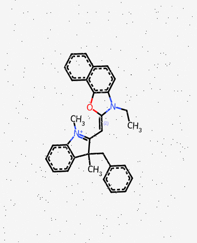 CCN1/C(=C/C2=[N+](C)c3ccccc3C2(C)Cc2ccccc2)Oc2c1ccc1ccccc21